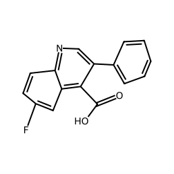 O=C(O)c1c(-c2ccccc2)cnc2ccc(F)cc12